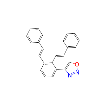 C(=Cc1cccc(-c2conn2)c1C=Cc1ccccc1)c1ccccc1